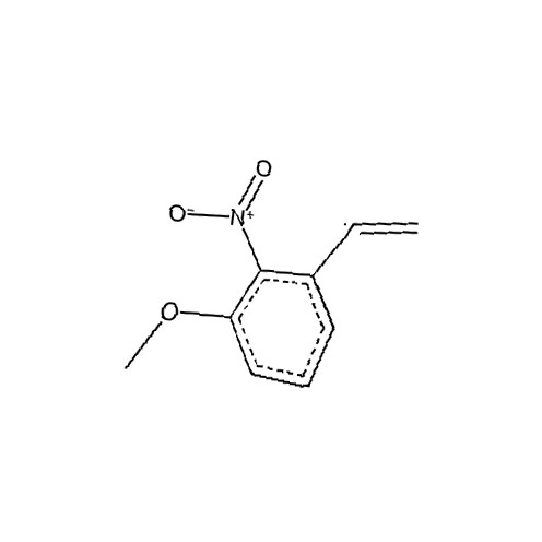 C=[C]c1cccc(OC)c1[N+](=O)[O-]